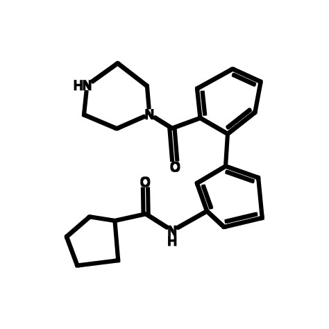 O=C(Nc1cccc(-c2ccccc2C(=O)N2CCNCC2)c1)C1CCCC1